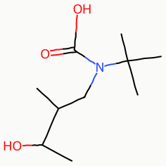 CC(O)C(C)CN(C(=O)O)C(C)(C)C